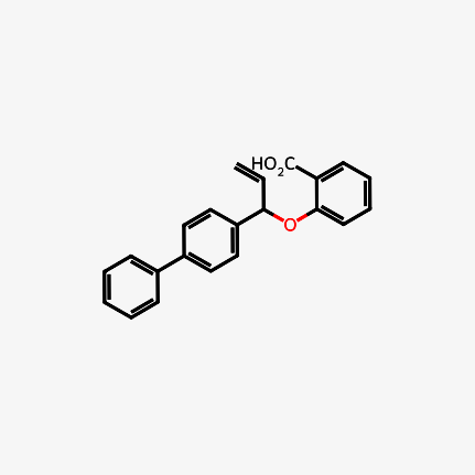 C=CC(Oc1ccccc1C(=O)O)c1ccc(-c2ccccc2)cc1